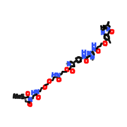 C=C1C[C@H]2C=Nc3cc(OCCCC(=O)Nc4cn(C)c(C(=O)Nc5ccc(-c6cc(C(=O)OCCCNC(=O)CCOCCOCCNC(=O)CCN7C(=O)CC(SC)C7=O)n(C)c6)cc5)n4)c(C)cc3C(=O)N2C1